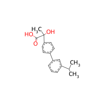 CC(C)c1cccc(-c2ccc(C(C)(O)C(=O)O)cc2)c1